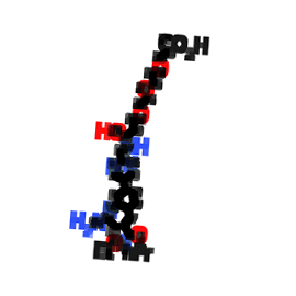 CCCN(OCC)C(=O)C1=Cc2ccc(-c3cnc(CNC(O)CCOCCOCCOCCC(=O)O)nc3)cc2N=C(N)C1